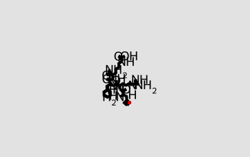 N=C(N)NCCCC(NC(=O)C(N)CC12CC(C1)C2)C(=O)NC(Cc1ccccc1)C(=O)NC(CCCCNC(=O)O)C(N)=O